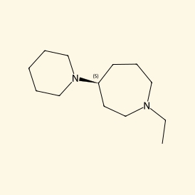 CCN1CCC[C@H](N2CCCCC2)CC1